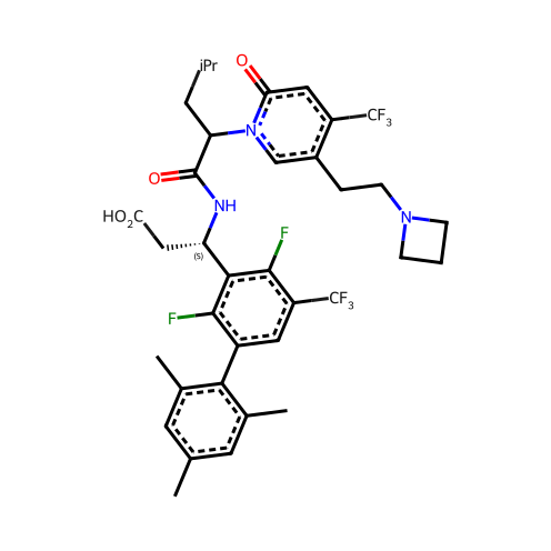 Cc1cc(C)c(-c2cc(C(F)(F)F)c(F)c([C@H](CC(=O)O)NC(=O)C(CC(C)C)n3cc(CCN4CCC4)c(C(F)(F)F)cc3=O)c2F)c(C)c1